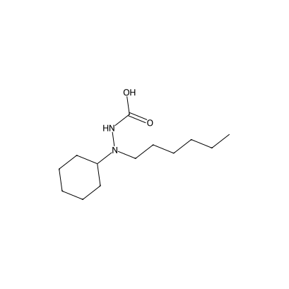 CCCCCCN(NC(=O)O)C1CCCCC1